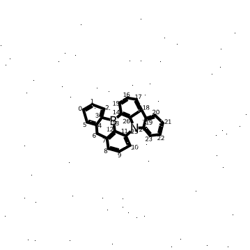 c1ccc2c(c1)Cc1cccc3c1B2c1cccc2c4ccccc4n-3c12